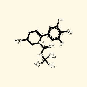 CC1CC=C(c2cc(F)c(O)c(F)c2)N(C(=O)OC(C)(C)C)C1